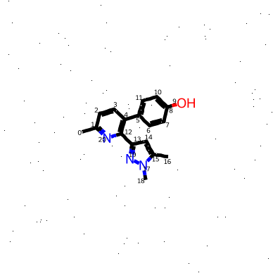 Cc1ccc(-c2ccc(O)cc2)c(-c2cc(C)n(C)n2)n1